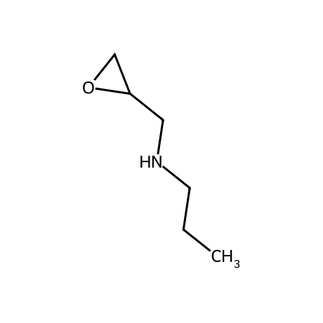 CCCNCC1CO1